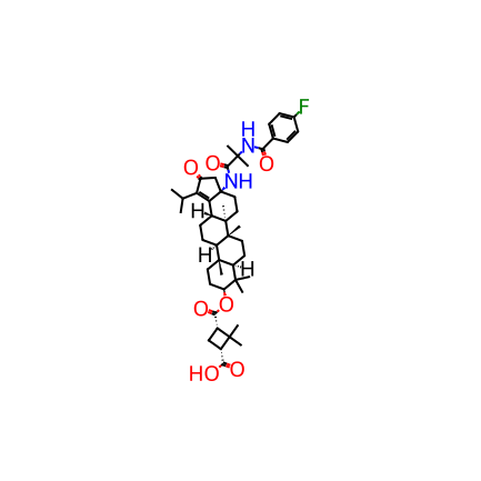 CC(C)C1=C2[C@H]3CC[C@@H]4[C@@]5(C)CC[C@H](OC(=O)[C@H]6C[C@@H](C(=O)O)C6(C)C)C(C)(C)[C@@H]5CC[C@@]4(C)[C@]3(C)CC[C@@]2(NC(=O)C(C)(C)NC(=O)c2ccc(F)cc2)CC1=O